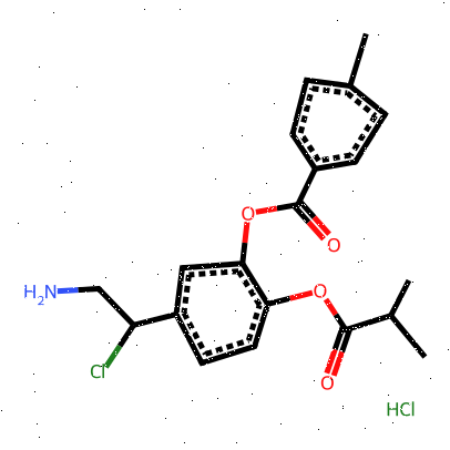 Cc1ccc(C(=O)Oc2cc(C(Cl)CN)ccc2OC(=O)C(C)C)cc1.Cl